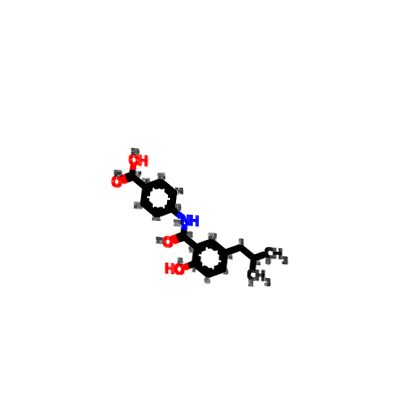 CC(C)Cc1ccc(O)c(C(=O)Nc2ccc(C(=O)O)cc2)c1